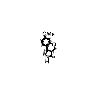 COc1ccc2c(c1)OCC1CNN=C21